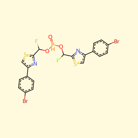 O=[PH](OC(F)c1nc(-c2ccc(Br)cc2)cs1)OC(F)c1nc(-c2ccc(Br)cc2)cs1